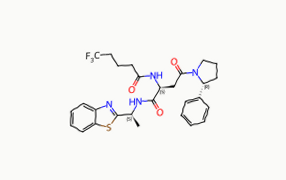 C[C@H](NC(=O)[C@H](CC(=O)N1CCC[C@@H]1c1ccccc1)NC(=O)CCCC(F)(F)F)c1nc2ccccc2s1